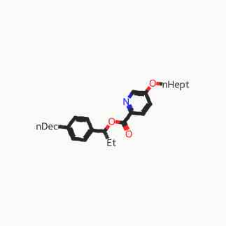 CCCCCCCCCCc1ccc(C(CC)OC(=O)c2ccc(OCCCCCCC)cn2)cc1